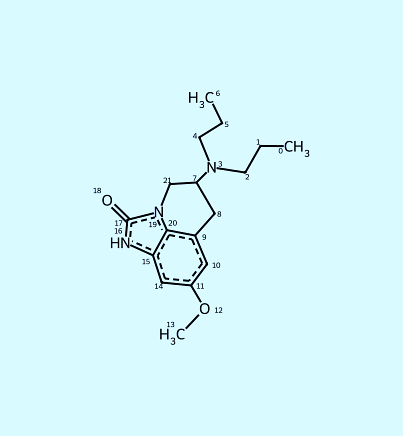 CCCN(CCC)C1Cc2cc(OC)cc3[nH]c(=O)n(c23)C1